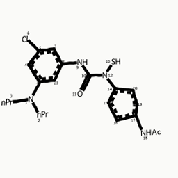 CCCN(CCC)c1cc(Cl)cc(NC(=O)N(S)c2ccc(NC(C)=O)cc2)c1